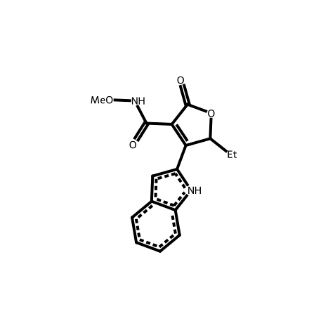 CCC1OC(=O)C(C(=O)NOC)=C1c1cc2ccccc2[nH]1